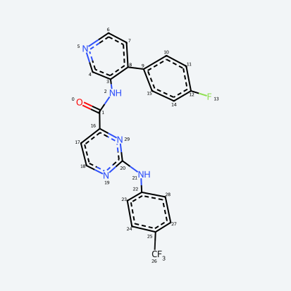 O=C(Nc1cnccc1-c1ccc(F)cc1)c1ccnc(Nc2ccc(C(F)(F)F)cc2)n1